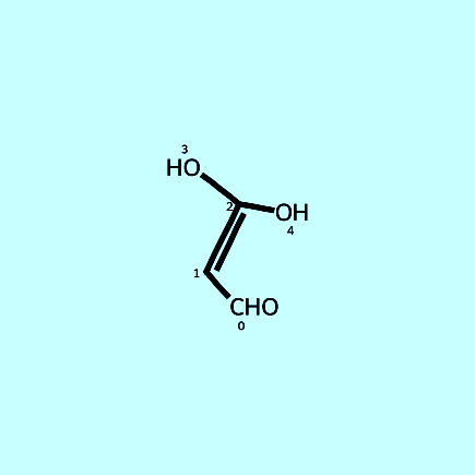 O=CC=C(O)O